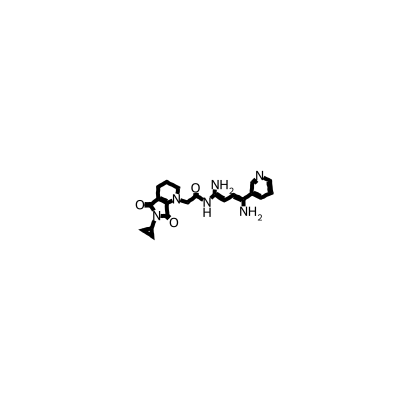 N/C(=C\C=C(/N)NC(=O)CN1CCCC2=C1C(=O)N(C1CC1)C2=O)c1cccnc1